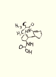 CC(C)C(=O)Nc1ccccc1Cc1ccccc1NC(=O)O